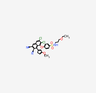 CCOCCCNS(=O)(=O)c1ccc(Oc2c(Cl)c(Cl)cc3cc(C#N)c(C#N)c(C4=CC(OC)=CC4)c23)cc1